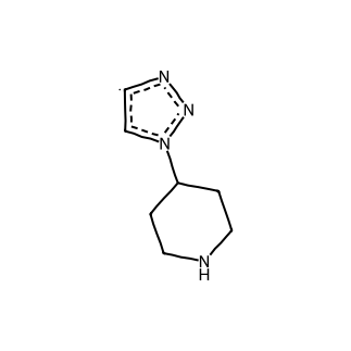 [c]1cn(C2CCNCC2)nn1